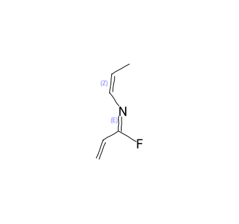 C=C/C(F)=N\C=C/C